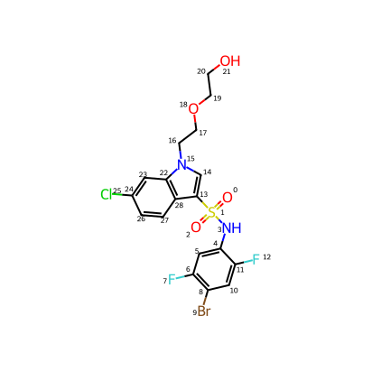 O=S(=O)(Nc1cc(F)c(Br)cc1F)c1cn(CCOCCO)c2cc(Cl)ccc12